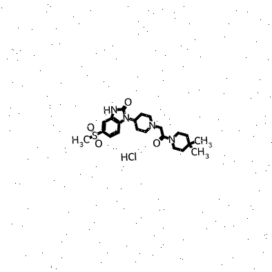 CC1(C)CCN(C(=O)CN2CCC(n3c(=O)[nH]c4cc(S(C)(=O)=O)ccc43)CC2)CC1.Cl